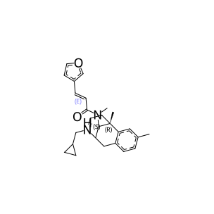 Cc1ccc2c(c1)[C@@]1(C)CCN(CC3CC3)C(C2)[C@H]1N(C)C(=O)/C=C/c1ccoc1